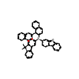 CC1(C)c2ccccc2-c2cc(N(c3ccc4c(c3)oc3ccccc34)c3ccc4ccccc4c3-c3ccc4ccccc4c3)ccc21